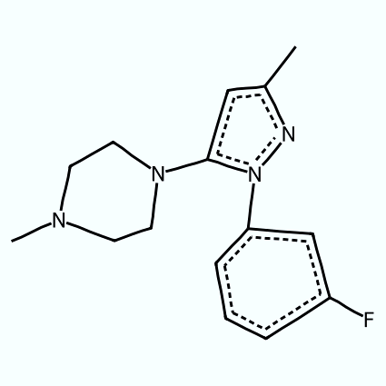 Cc1cc(N2CCN(C)CC2)n(-c2cccc(F)c2)n1